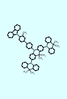 Cc1cc(-c2ccc(N3c4ccc(N5c6ccccc6C(C)(C)c6ccccc65)cc4C(C)(C)c4cc(N5c6ccccc6C(C)(C)c6ccccc65)ccc43)cc2)ccc1-n1c2ccccc2c2ccccc21